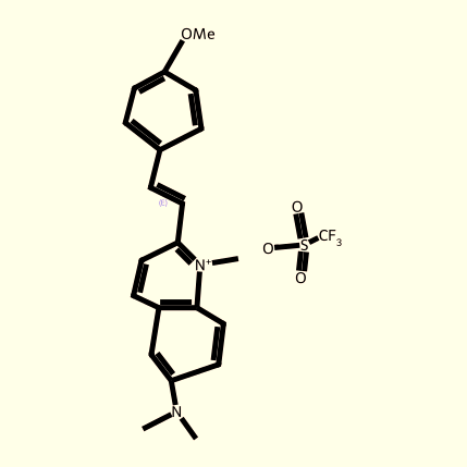 COc1ccc(/C=C/c2ccc3cc(N(C)C)ccc3[n+]2C)cc1.O=S(=O)([O-])C(F)(F)F